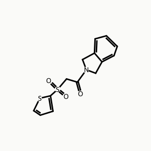 O=C(CS(=O)(=O)c1cccs1)N1Cc2ccccc2C1